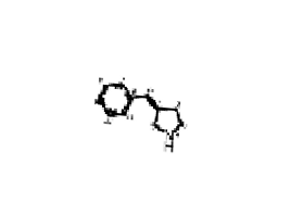 C(=C1CCNC1)c1ccccc1